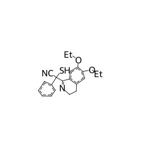 CCOc1cc2c(cc1OCC)C(C(S)(C#N)c1ccccc1)=NCC2